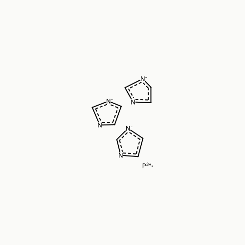 [P+3].c1c[n-]cn1.c1c[n-]cn1.c1c[n-]cn1